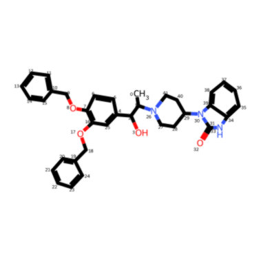 CC(C(O)c1ccc(OCc2ccccc2)c(OCc2ccccc2)c1)N1CCC(n2c(=O)[nH]c3ccccc32)CC1